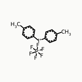 Cc1ccc([I+]c2ccc(C)cc2)cc1.F[P-](F)(F)(F)(F)F